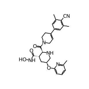 Cc1cccc(O[C@@H]2CN[C@H](C(=O)N3CC=C(c4cc(C)c(C#N)c(C)c4)CC3)[C@@H](C(=O)NO)C2)n1